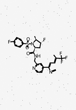 C=N/C(=C\C=C(/C)C(F)(F)F)c1ccnc(CNC(=O)[C@@H]2C[C@@H](F)[C@H](C)N2S(=O)(=O)c2ccc(F)cc2)c1